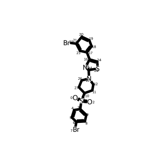 O=S(=O)(c1ccc(Br)cc1)C1CCN(c2nc(-c3cccc(Br)c3)cs2)CC1